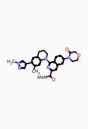 CNC(=O)c1cc2cc(N3CCOCC3=O)ccc2c(N2CCCc3cc(-c4cnn(C)c4)c(C)cc32)n1